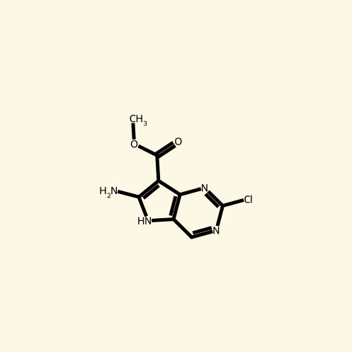 COC(=O)c1c(N)[nH]c2cnc(Cl)nc12